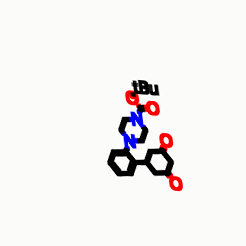 CC(C)(C)OC(=O)N1CCN(c2ccccc2C2CC(=O)CC(=O)C2)CC1